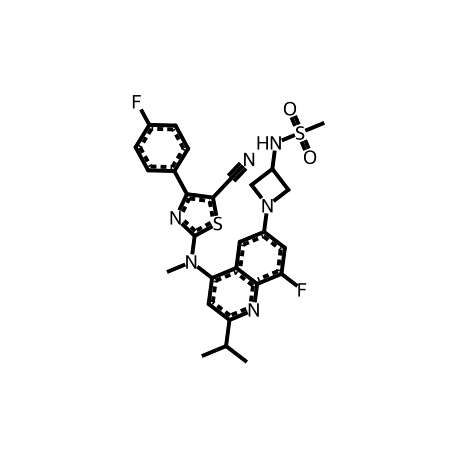 CC(C)c1cc(N(C)c2nc(-c3ccc(F)cc3)c(C#N)s2)c2cc(N3CC(NS(C)(=O)=O)C3)cc(F)c2n1